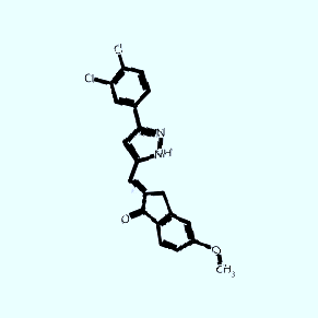 COc1ccc2c(c1)C/C(=C\c1cc(-c3ccc(Cl)c(Cl)c3)n[nH]1)C2=O